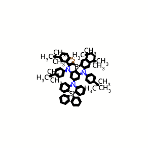 CC(C)(C)c1ccc(N2c3cc4c(cc3B3c5sc6ccc(C(C)(C)C)cc6c5N(c5ccc(C(C)(C)C)cc5)c5cc(N6c7ccccc7[Si](c7ccccc7)(c7ccccc7)c7ccccc76)cc2c53)C(C)(C)CCC4(C)C)cc1